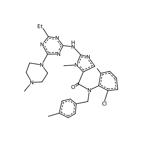 CCc1nc(Nc2ncc(C(=O)N(Cc3ccc(C)cc3)c3c(C)cccc3Cl)n2C)nc(N2CCN(C)CC2)n1